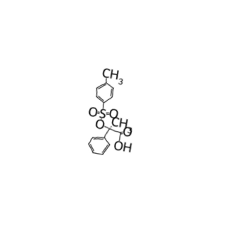 Cc1ccc(S(=O)(=O)O[C@@](C)(C(=O)O)c2ccccc2)cc1